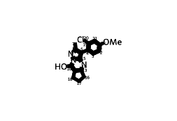 COc1ccc(-c2c(C)nn3c(O)c4c(nc23)CCC4)c(Cl)c1